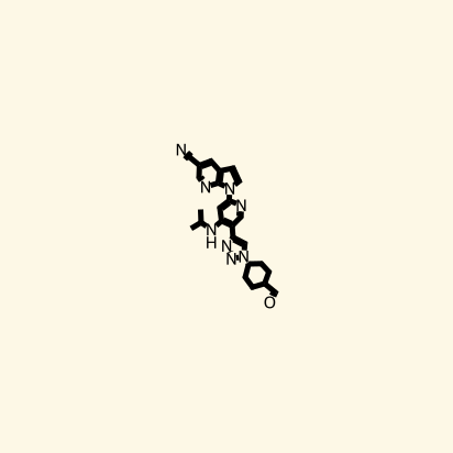 CC(C)Nc1cc(-n2ccc3cc(C#N)cnc32)ncc1-c1cn(C2CCC(C=O)CC2)nn1